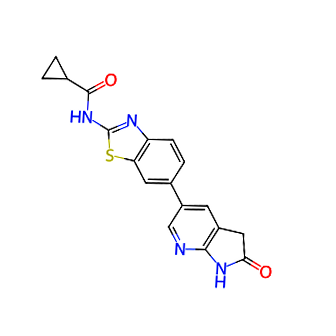 O=C1Cc2cc(-c3ccc4nc(NC(=O)C5CC5)sc4c3)cnc2N1